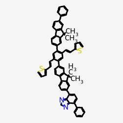 CC1(C)c2cc(-c3ccccc3)ccc2-c2ccc(-c3cc(/C=C/c4cccs4)c(-c4ccc5c(c4)C(C)(C)c4cc(-c6ccc(-c7ccccc7)c7c6=NCN=7)ccc4-5)cc3/C=C/c3cccs3)cc21